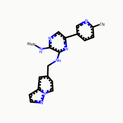 CNNc1ncc(-c2ccc(C#N)nc2)nc1NCc1ccn2nccc2c1